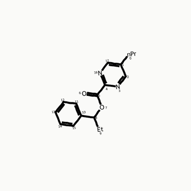 CCCc1cnc(C(=O)OC(CC)c2ccccc2)nc1